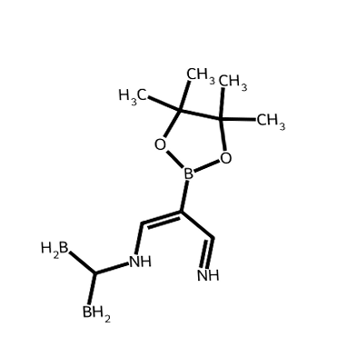 BC(B)N/C=C(\C=N)B1OC(C)(C)C(C)(C)O1